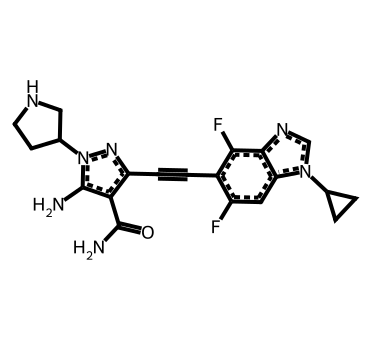 NC(=O)c1c(C#Cc2c(F)cc3c(ncn3C3CC3)c2F)nn(C2CCNC2)c1N